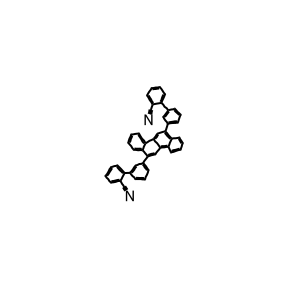 N#Cc1ccccc1-c1cccc(-c2cc3c4ccccc4c(-c4cccc(-c5ccccc5C#N)c4)cc3c3ccccc23)c1